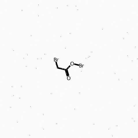 O=C(CBr)OBr